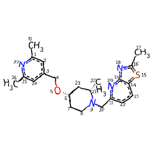 Cc1cc(CO[C@H]2CCN(Cc3ccc4sc(C)nc4n3)[C@@H](C)C2)cc(C)n1